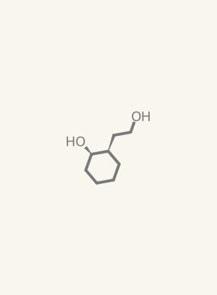 OCC[C@H]1CCCC[C@H]1O